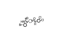 O=[S+]C1Nc2c(Br)cccc2N1C1CCN(C(=O)Nc2ccc(Cl)c(Cl)c2)CC1